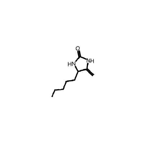 C=C1NC(=O)NC1CCCCC